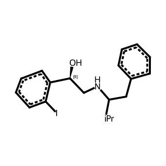 CC(C)C(Cc1ccccc1)NC[C@H](O)c1ccccc1I